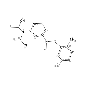 CC(O)N(c1cccc(N(C)Cc2cc(N)ccc2N)c1)C(C)O